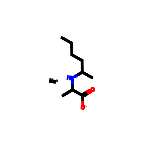 CCCCC(C)NC(C)C(=O)[O-].[Na+]